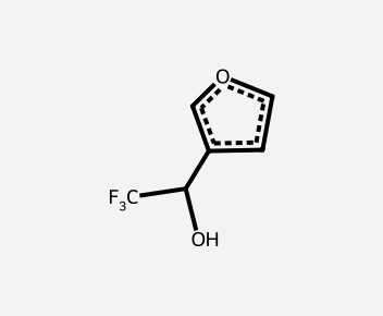 OC(c1ccoc1)C(F)(F)F